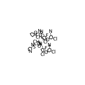 Cc1c(-c2nnc(Cc3ccc(Cl)c(Oc4cc(Cl)cc(C#N)c4)c3F)o2)oc2ccccc12.Cc1nc(-c2cccnc2)sc1-c1nnc(Cc2ccc(Cl)c(Oc3cc(Cl)cc(C#N)c3)c2F)o1